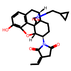 CC=C1CC(=O)N([C@@H]2CCC3(O)[C@H]4Cc5ccc(O)c6c5[C@@]3(CCN4CC3CC3)[C@H]2O6)C1=O